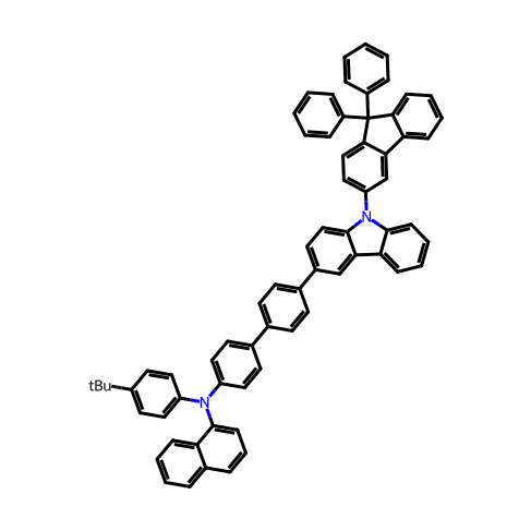 CC(C)(C)c1ccc(N(c2ccc(-c3ccc(-c4ccc5c(c4)c4ccccc4n5-c4ccc5c(c4)-c4ccccc4C5(c4ccccc4)c4ccccc4)cc3)cc2)c2cccc3ccccc23)cc1